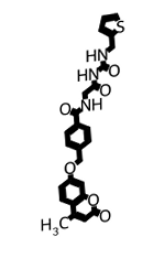 Cc1cc(=O)oc2cc(OCc3ccc(C(=O)NCC(=O)NC(=O)NCc4cccs4)cc3)ccc12